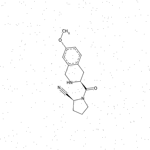 COc1ccc2c(c1)CN[C@H](C(=O)N1CCC[C@H]1C#N)C2